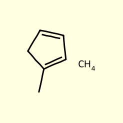 C.CC1=CC=CC1